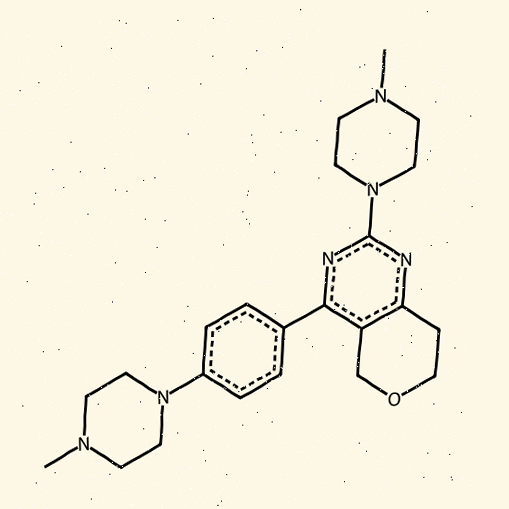 CN1CCN(c2ccc(-c3nc(N4CCN(C)CC4)nc4c3COCC4)cc2)CC1